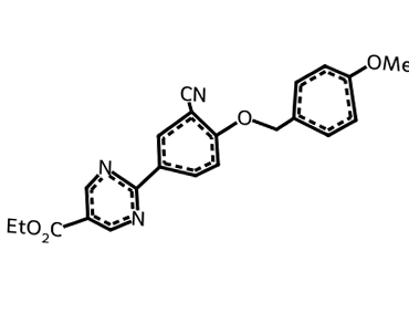 CCOC(=O)c1cnc(-c2ccc(OCc3ccc(OC)cc3)c(C#N)c2)nc1